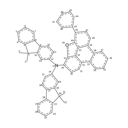 CC1(C)c2ccccc2-c2ccc(N(c3ccc4c(c3)C(C)(C)c3ccccc3-4)c3ccc4c5ccccc5c5ccc(-c6ccccc6)c6oc3c4c65)cc21